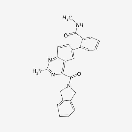 CNC(=O)c1ccccc1-c1ccc2nc(N)nc(C(=O)N3Cc4ccccc4C3)c2c1